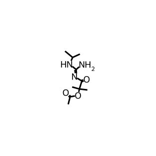 CC(=O)OC(C)(C)C(=O)/N=C(\N)NC(C)C